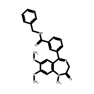 COc1cc2c(cc1OC)N(C)C(=O)CN=C2c1cccc(C(=O)NCc2ccccc2)c1